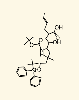 CC=CCC(CC(O)C(CC(C)(C)CCO[Si](c1ccccc1)(c1ccccc1)C(C)(C)C)NC(=O)OC(C)(C)C)C(=O)O